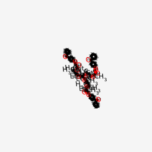 CCC(COC(C)CC(C)OC(C)(CC)C(=O)COc1ccc(C(=O)c2ccccc2)cc1)(COC(C)(C)CC(C)OC(C)(CC)C(=O)COc1ccc(C(=O)c2ccccc2)cc1)COC(C)(CC)CC(C)OC(C)(CC)C(=O)COc1ccc(C(=O)c2ccccc2)cc1